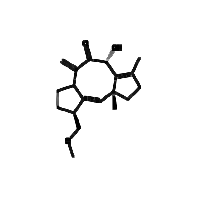 C=C1C(=O)[C@H](O)C2=C(C)CC[C@]2(C)/C=C2\C1CC[C@@H]2COC